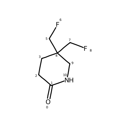 O=C1CCC(CF)(CF)CN1